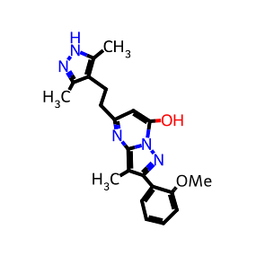 COc1ccccc1-c1nn2c(O)cc(CCc3c(C)n[nH]c3C)nc2c1C